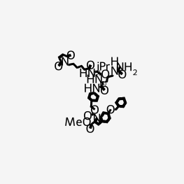 COC(=O)c1cc2ccc(OCc3ccccc3)cc2n1C(=O)OCc1ccc(NC(=O)[C@H](CCCNC(N)=O)NC(=O)[C@@H](NC(=O)CCCCCN2C(=O)C=CC2=O)C(C)C)cc1